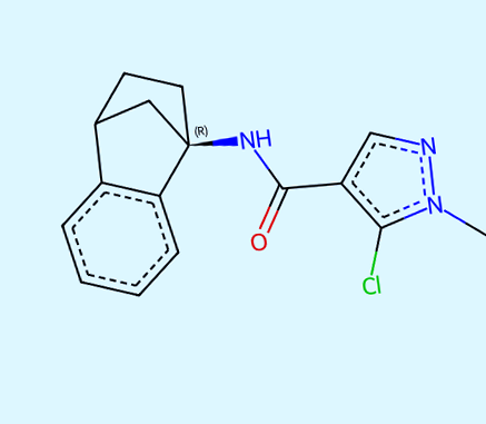 Cn1ncc(C(=O)N[C@]23CCC(C2)c2ccccc23)c1Cl